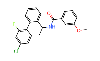 COc1cccc(C(=O)NC(C)c2ccccc2-c2ccc(Cl)cc2F)c1